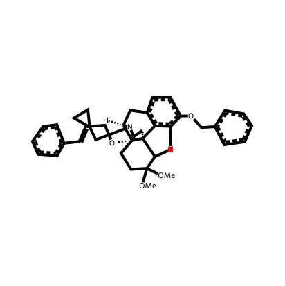 COC1(OC)CC[C@@]2(OC/C=C/c3ccccc3)[C@H]3Cc4ccc(OCc5ccccc5)c5c4[C@@]2(CCN3CC2CC2)[C@H]1O5